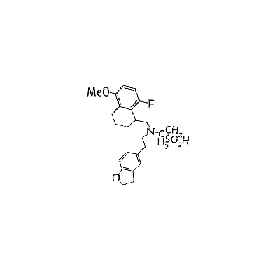 COc1ccc(F)c2c1CCCC2CN(C)CCc1ccc2c(c1)CCO2.CS(=O)(=O)O